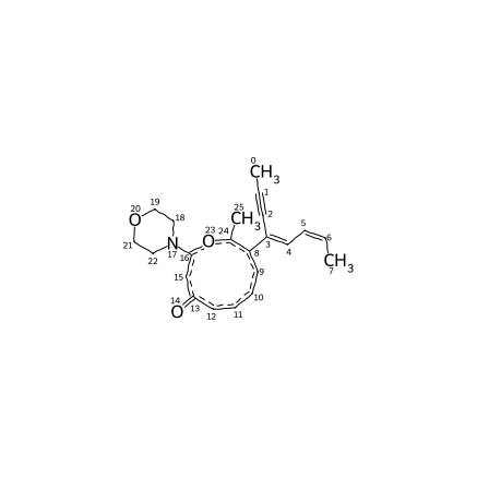 CC#C/C(=C\C=C/C)c1ccccc(=O)cc(N2CCOCC2)oc1C